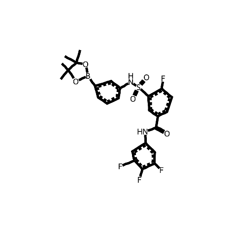 CC1(C)OB(c2cccc(NS(=O)(=O)c3cc(C(=O)Nc4cc(F)c(F)c(F)c4)ccc3F)c2)OC1(C)C